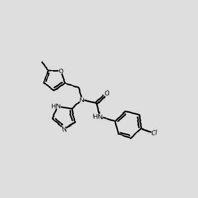 Cc1ccc(CN(C(=O)Nc2ccc(Cl)cc2)c2cnc[nH]2)o1